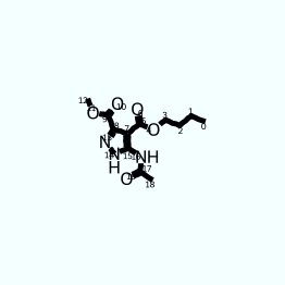 CCCCOC(=O)c1c(C(=O)OC)n[nH]c1NC(C)=O